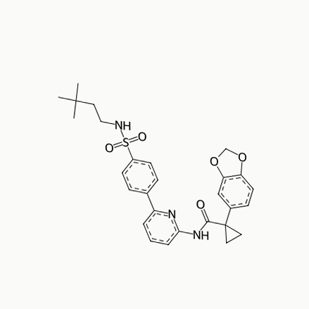 CC(C)(C)CCNS(=O)(=O)c1ccc(-c2cccc(NC(=O)C3(c4ccc5c(c4)OCO5)CC3)n2)cc1